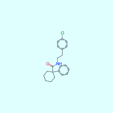 O=C(NCCc1ccc(Cl)cc1)C1(c2ccccc2)CCCCC1